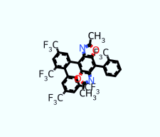 Cc1nc2c(-c3cc(C(F)(F)F)cc(C(F)(F)F)c3-c3cc(C(F)(F)F)cc(C(F)(F)F)c3)c3oc(C)nc3c(-c3ccccc3C(F)(F)F)c2o1